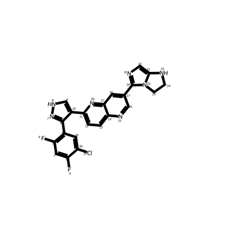 Fc1cc(F)c(-c2n[nH]cc2-c2ccc3ncc(-c4ncc5n4CCN5)cc3n2)cc1Cl